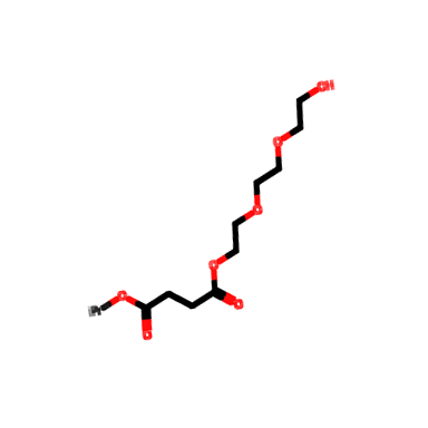 CC(C)OC(=O)CCC(=O)OCCOCCOCCO